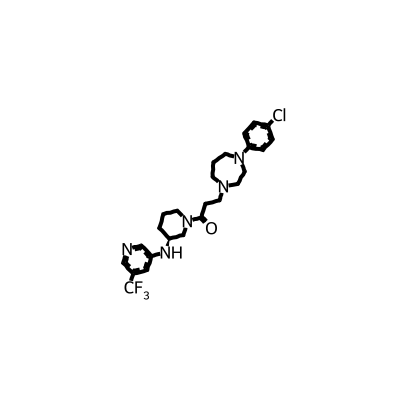 O=C(CCN1CCCN(c2ccc(Cl)cc2)CC1)N1CCC[C@H](Nc2cncc(C(F)(F)F)c2)C1